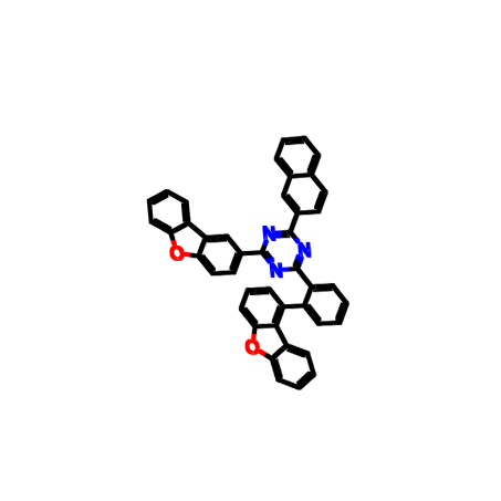 c1ccc(-c2cccc3oc4ccccc4c23)c(-c2nc(-c3ccc4ccccc4c3)nc(-c3ccc4oc5ccccc5c4c3)n2)c1